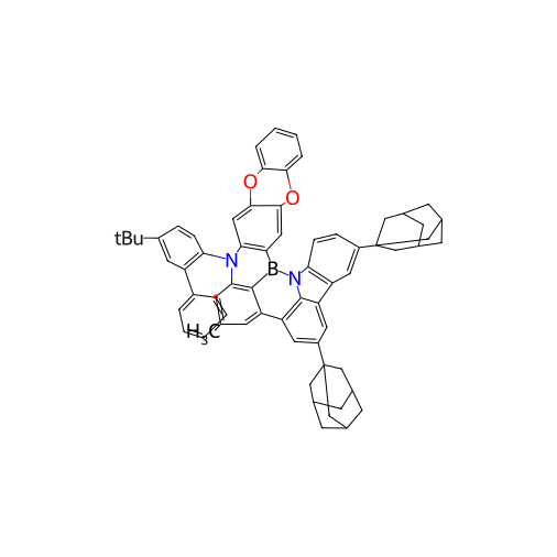 Cc1cc2c3c(c1)N(c1ccc(C(C)(C)C)cc1-c1ccccc1)c1cc4c(cc1B3n1c3ccc(C56CC7CC(CC(C7)C5)C6)cc3c3cc(C56CC7CC(CC(C7)C5)C6)cc-2c31)Oc1ccccc1O4